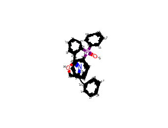 O=P(c1ccccc1)(c1ccccc1)c1ccccc1C1=N[C@@H](c2ccccc2)CO1